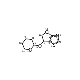 c1nc2c(s1)C(OC1CCCCO1)CO2